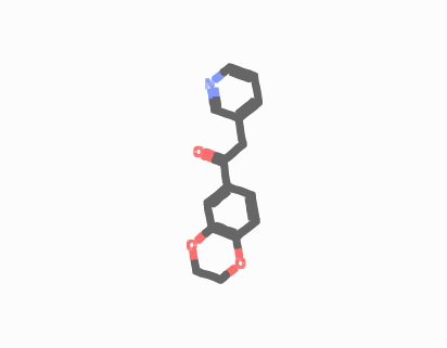 O=C(Cc1cccnc1)c1ccc2c(c1)OCCO2